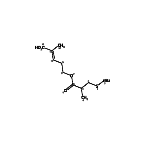 CCCCSCC(C)C(=O)OCC/C=C(\C)C(=O)O